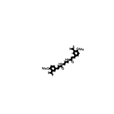 COc1ccc(/C=C/C(=O)NCCCNC(=O)/C=C/c2ccc(OC)c(C(F)F)c2)cc1C(F)F